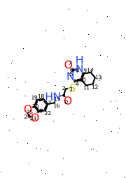 O=C(CSc1nc(=O)[nH]c2c1CCCC2)NCc1ccc2c(c1)OCO2